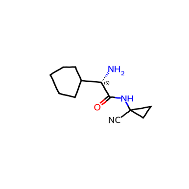 N#CC1(NC(=O)[C@@H](N)C2CCCCC2)CC1